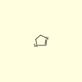 C1=NCC[Se]1